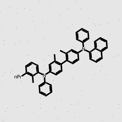 CCCc1cccc(N(c2ccccc2)c2ccc(-c3ccc(N(c4ccccc4)c4cccc5ccccc45)cc3C)c(C)c2)c1C